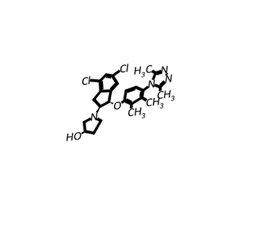 Cc1c(O[C@H]2c3cc(Cl)cc(Cl)c3C[C@@H]2N2CC[C@@H](O)C2)ccc(-n2c(C)nnc2C)c1C